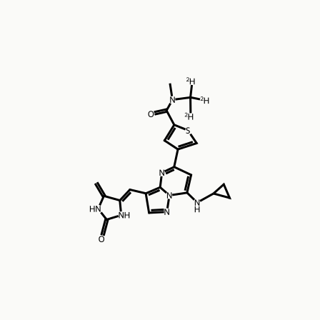 [2H]C([2H])([2H])N(C)C(=O)c1cc(-c2cc(NC3CC3)n3ncc(/C=c4\[nH]c(=O)[nH]c4=C)c3n2)cs1